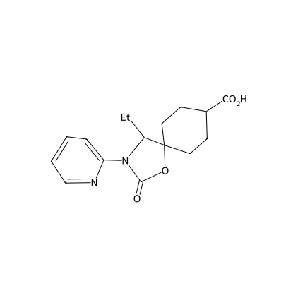 CCC1N(c2ccccn2)C(=O)OC12CCC(C(=O)O)CC2